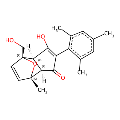 Cc1cc(C)c(C2=C(O)[C@H]3[C@@H](C2=O)[C@]2(C)C=C[C@@]3(CO)O2)c(C)c1